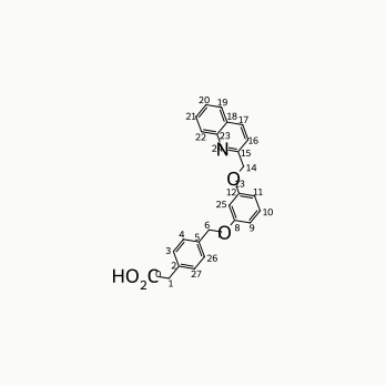 O=C(O)Cc1ccc(COc2cccc(OCc3ccc4ccccc4n3)c2)cc1